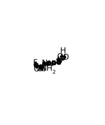 Nc1nnc(-c2cc(F)ccc2O)cc1-c1cnn(C2CCN([C@H]3CC[C@@H](c4cccc5c4CCN5[C@@H]4CCC(=O)NC4=O)CC3)CC2)c1